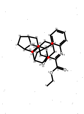 CCOC(=O)c1nc2ccccc2n(C2CC3CCC(C2)N3C23CC4CC(CC(C4)C2)C3)c1=O